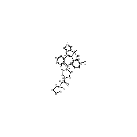 Cn1cncc1C(C)(O)C1=Cc2cccnc2[C@@H](N2CCN(C(=O)OC3(C)CCCC3)CC2)c2ccc(Cl)cc21